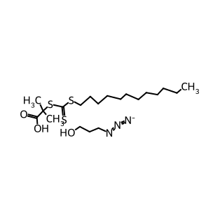 CCCCCCCCCCCCSC(=S)SC(C)(C)C(=O)O.[N-]=[N+]=NCCCO